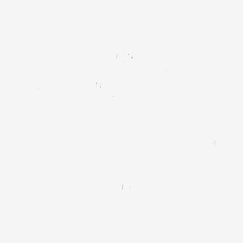 COCCNC(=O)c1c(-c2ccc(CO)c(CO)c2)csc1N